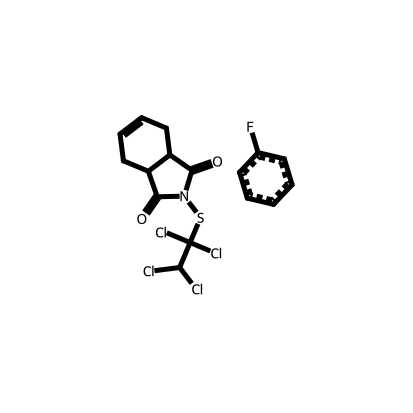 Fc1ccccc1.O=C1C2CC=CCC2C(=O)N1SC(Cl)(Cl)C(Cl)Cl